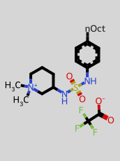 CCCCCCCCc1ccc(NS(=O)(=O)NC2CCC[N+](C)(C)C2)cc1.O=C([O-])C(F)(F)F